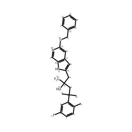 Cc1ccc(F)cc1C(C)(C)CC(O)(Cc1cc2cc(OCc3ccccc3)ncc2[nH]1)C(F)(F)F